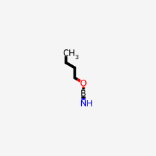 CCCCOB=N